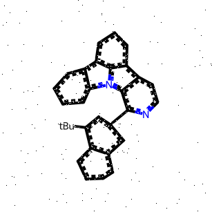 CC(C)(C)c1cc(-c2nccc3c4cccc5c6ccccc6n(c23)c54)cc2ccccc12